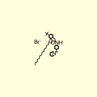 CCCCCCCCCCCCCCOc1cc(C(C)(C)C)ccc1CC(=O)Nc1ccc(C[n+]2ccccc2)cc1.[Br-]